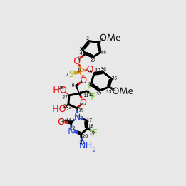 COc1ccc(OP(=S)(OC[C@@]2(C(F)F)O[C@@H](n3cc(F)c(N)nc3=O)[C@@H](O)[C@@H]2O)Oc2ccc(OC)cc2)cc1